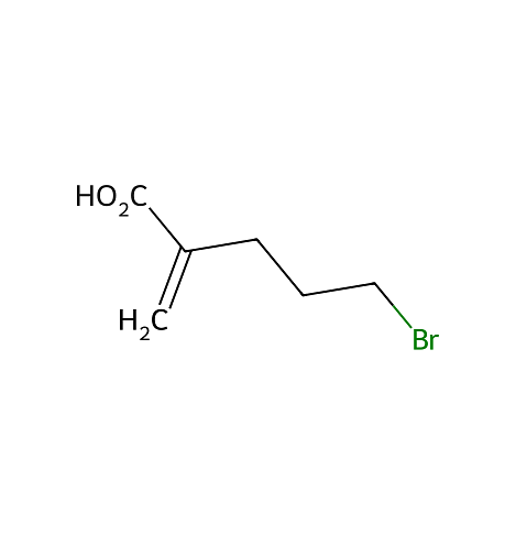 C=C(CCCBr)C(=O)O